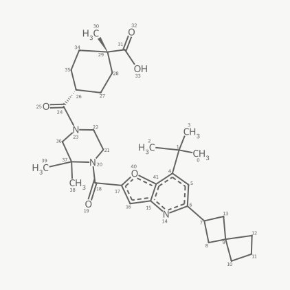 CC(C)(C)c1cc(C2CC3(CCC3)C2)nc2cc(C(=O)N3CCN(C(=O)[C@H]4CC[C@@](C)(C(=O)O)CC4)CC3(C)C)oc12